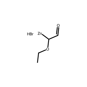 Br.CCO[CH]([Zn])C=O